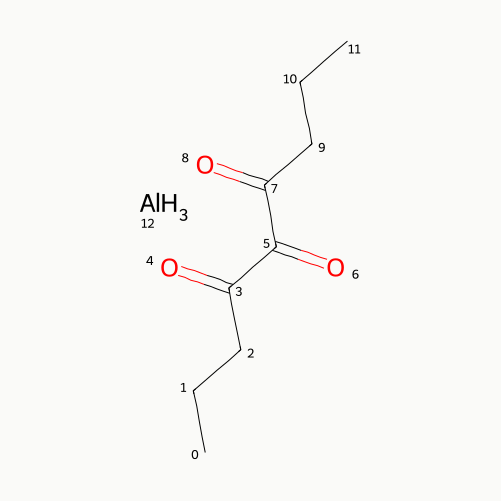 CCCC(=O)C(=O)C(=O)CCC.[AlH3]